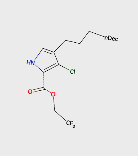 CCCCCCCCCCCCCc1c[nH]c(C(=O)OCC(F)(F)F)c1Cl